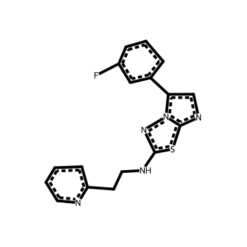 Fc1cccc(-c2cnc3sc(NCCc4ccccn4)nn23)c1